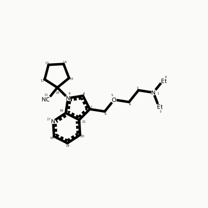 CCN(CC)CCOCc1cn(C2(C#N)CCCC2)c2ncccc12